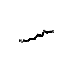 CSCC/C=C/N=C=S